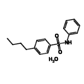 CCCCc1ccc(S(=O)(=O)Nc2ccccc2)cc1.O